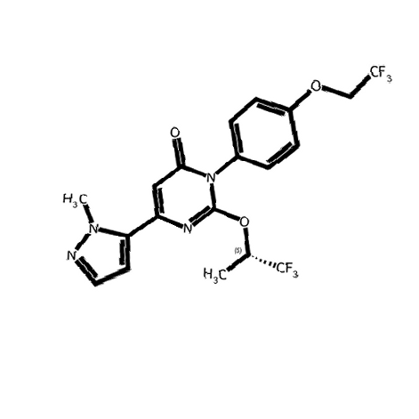 C[C@H](Oc1nc(-c2ccnn2C)cc(=O)n1-c1ccc(OCC(F)(F)F)cc1)C(F)(F)F